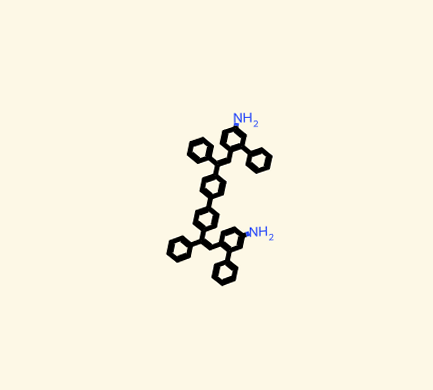 Nc1ccc(C=C(c2ccccc2)c2ccc(-c3ccc(C(=Cc4ccc(N)cc4-c4ccccc4)c4ccccc4)cc3)cc2)c(-c2ccccc2)c1